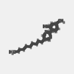 CCCCCCCCCCc1cnc(-c2ccc(C)cc2S)nc1